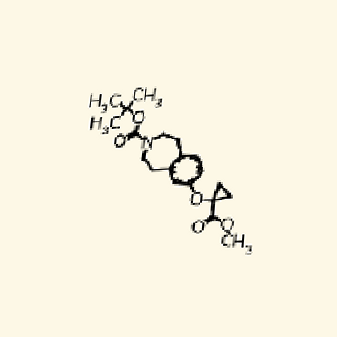 COC(=O)C1(Oc2ccc3c(c2)CCN(C(=O)OC(C)(C)C)CC3)CC1